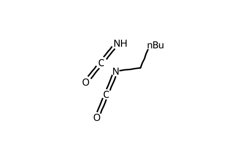 CCCCCN=C=O.N=C=O